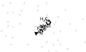 CN1CCCC(NNS(=O)(=O)c2cnn(C3CC3)c2F)C1